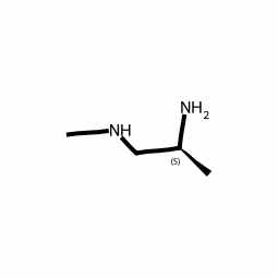 CNC[C@H](C)N